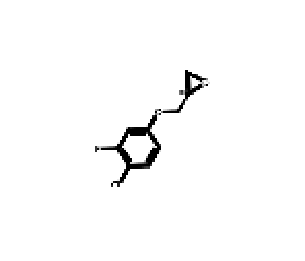 Fc1cc(OC[C@H]2CO2)ccc1Cl